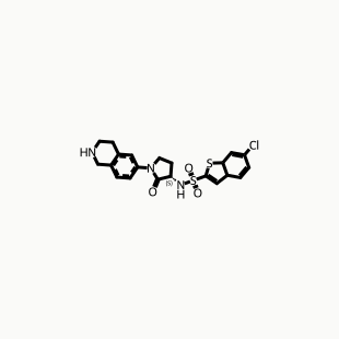 O=C1[C@@H](NS(=O)(=O)C2=CC3C=CC(Cl)=CC3S2)CCN1c1ccc2c(c1)CCNC2